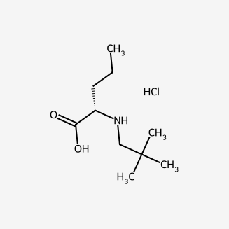 CCC[C@H](NCC(C)(C)C)C(=O)O.Cl